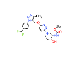 Cc1nnn(-c2ccc(C(F)F)cc2)c1COc1ccc(N2CCC(O)C(NC(=O)OC(C)(C)C)C2)nn1